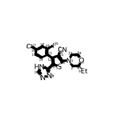 CC[C@@H]1CN(c2sc(-c3nnc[nH]3)c(-c3ccc(Cl)cc3I)c2C#N)CCO1